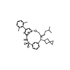 Cc1cccc(C)c1-c1cc2nc(n1)NS(=O)(=O)c1cccc(c1)C(C1CC3(CC3)C1)[C@H](CCC(C)C)CO2